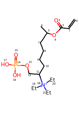 C=CC(=O)OC(C)CCCCC(COP(=O)(O)O)[N+](CC)(CC)CC